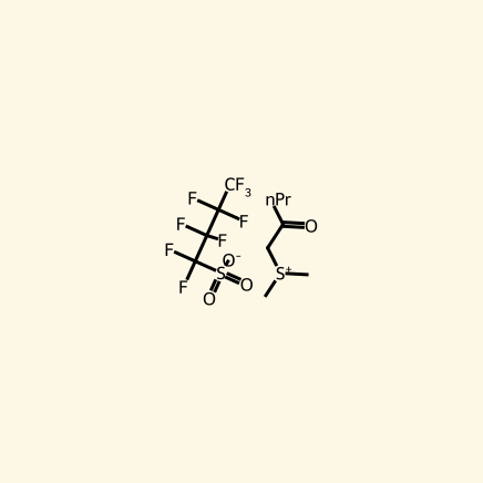 CCCC(=O)C[S+](C)C.O=S(=O)([O-])C(F)(F)C(F)(F)C(F)(F)C(F)(F)F